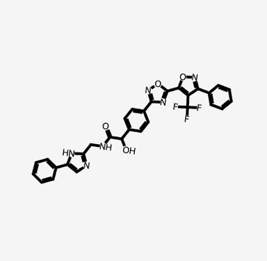 O=C(NCc1ncc(-c2ccccc2)[nH]1)C(O)c1ccc(-c2noc(-c3onc(-c4ccccc4)c3C(F)(F)F)n2)cc1